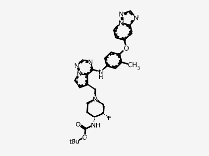 Cc1cc(Nc2ncnn3ccc(CN4CC[C@@H](NC(=O)OC(C)(C)C)[C@@H](F)C4)c23)ccc1Oc1ccn2ncnc2c1